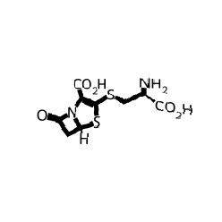 N[C@H](CSC1=C(C(=O)O)N2C(=O)C[C@@H]2S1)C(=O)O